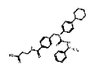 C[C@@H](NC(=O)N(Cc1ccc(C(=O)NCCC(=O)O)cc1)c1ccc(C2CCCCC2)cc1)c1ccccc1